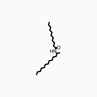 CCCCCCCCCCCC(C)NC(=O)CCCCCCCCCC